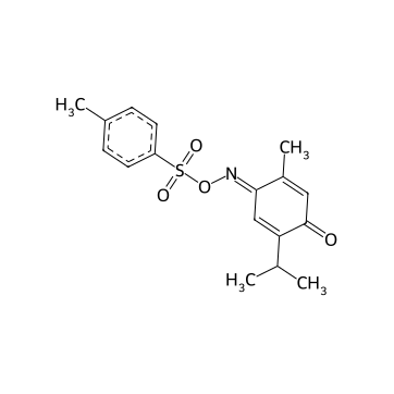 CC1=CC(=O)C(C(C)C)=CC1=NOS(=O)(=O)c1ccc(C)cc1